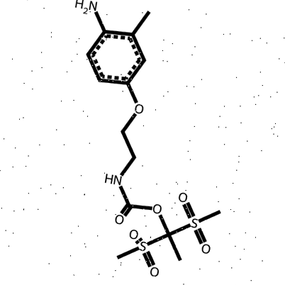 Cc1cc(OCCNC(=O)OC(C)(S(C)(=O)=O)S(C)(=O)=O)ccc1N